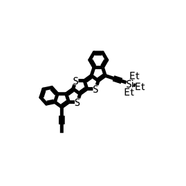 CC#CC1=c2sc3c(sc4c5c(sc43)=C(C#C[Si](CC)(CC)CC)c3ccccc3-5)c2-c2ccccc21